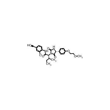 C#Cc1ccc(NC(=O)[C@H](C(C)CC)N2C(=O)N[C@H](c3ccc(OCCOC)cc3)C2=O)c(Cl)c1